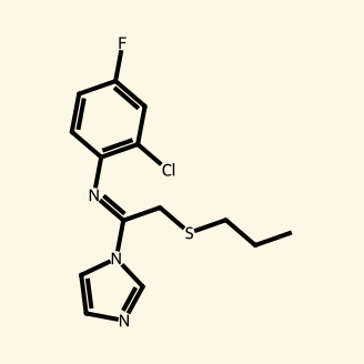 CCCSCC(=Nc1ccc(F)cc1Cl)n1ccnc1